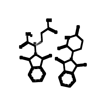 NC(=O)[C@H](CCC(=O)O)N1C(=O)c2ccccc2C1=O.O=C1CCC(N2C(=O)c3ccccc3C2=O)C(=O)N1